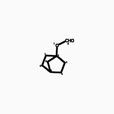 O=COC12CCC(CC1)C2